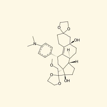 COCC1([C@@]2(O)CC[C@H]3[C@@H]4CC[C@@]5(O)CC6(CCC5=C4[C@@H](c4ccc(N(C)C)cc4)C[C@@]32C)OCCO6)OCCO1